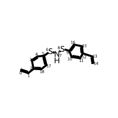 C=Cc1ccc(SNSc2ccc(C=C)cc2)cc1